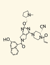 C=CC(=O)N1CCN(c2nc(OC[C@@H]3CCCN3C)nc3c2CN(C(=O)c2cc(O)cc4ccccc24)C3)C[C@@H]1CC#N